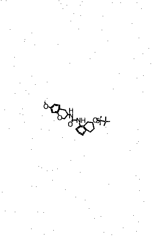 COc1ccc2c(c1)OCC(NC(=O)Nc1cccc3c1CC(O[Si](C)(C)C(C)(C)C)CC3)C2